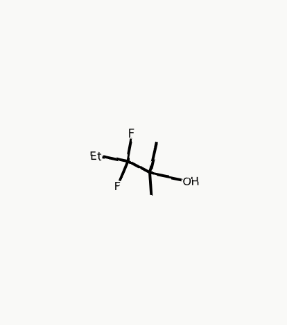 CCC(F)(F)C(C)(C)O